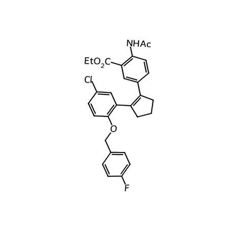 CCOC(=O)c1cc(C2=C(c3cc(Cl)ccc3OCc3ccc(F)cc3)CCC2)ccc1NC(C)=O